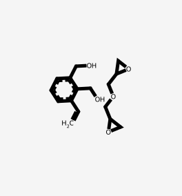 C(OCC1CO1)C1CO1.C=Cc1cccc(CO)c1CO